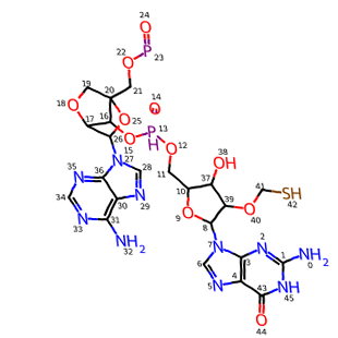 Nc1nc2c(ncn2C2OC(CO[PH](=O)OC3C4OCC3(COP=O)OC4n3cnc4c(N)ncnc43)C(O)C2OCS)c(=O)[nH]1